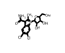 Cc1c(C(N)=O)c2cc(Cl)c(Cl)cc2n1C1OC(CO)C(O)C1O